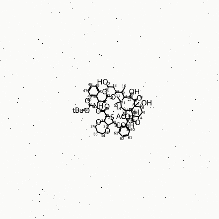 CC(=O)O[C@@]12COC1CC(O)C1(C)C(=O)[C@H](O)C(C(C)[C@H](CCO)OC(=O)[C@H](OC(=O)C3SC(C(=O)O)C4OCCCOC34)C(NC(=O)OC(C)(C)C)c3ccccc3)C(C)(C)C[C@@H](OC(=O)c3ccccc3)[C@@H]12